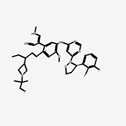 CCC(CCc1cc(OC)c(Nc2cc(N3OCC[C@@H]3c3cccc(F)c3F)ncn2)cc1/C(C=N)=C/NC)C1CN(C(C)(C)CF)C1